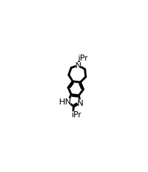 CC(C)c1nc2cc3c(cc2[nH]1)CCN(C(C)C)CC3